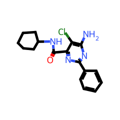 Nc1nc(-c2ccccc2)nc(C(=O)NC2CCCCC2)c1Cl